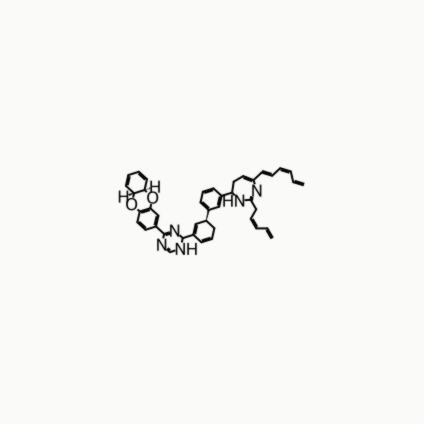 C=C/C=C\C=C\C1=CCC(c2cccc([C@@H]3C=C(C4N=C(c5ccc6c(c5)O[C@@H]5C=CC=C[C@H]5O6)N=CN4)C=CC3)c2)NC(C/C=C\C=C)=N1